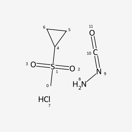 CS(=O)(=O)C1CC1.Cl.NN=C=O